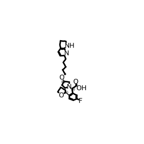 O=C(O)[C@H](c1cc(F)ccc1[C@@H]1CCCO1)N1CC[C@@H](OCCCCCc2ccc3c(n2)NCCC3)C1